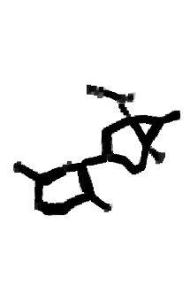 C[C@H]1[C@H]2CN(c3nc(Cl)ncc3F)C[C@]21NC(=O)O